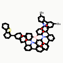 CC(C)(C)c1ccc2c(c1)c1cc(C(C)(C)C)ccc1n2-c1ccc2c(c1)N(c1c(-c3ccccc3)cccc1-c1ccccc1)c1cccc3c1B2c1ccc(-c2ccc(-c4cccc5c4sc4ccccc45)cc2)cc1N3c1c(-c2ccccc2)cccc1-c1ccccc1